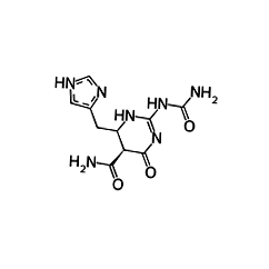 NC(=O)NC1=NC(=O)[C@@H](C(N)=O)C(Cc2c[nH]cn2)N1